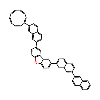 c1ccccc(-c2ccc3ccc(-c4ccc5oc6ccc(-c7ccc8ccc(-c9ccc%10ccccc%10c9)cc8c7)cc6c5c4)cc3c2)cccc1